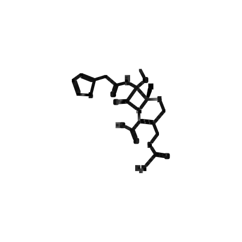 COC1(NC(=O)Cc2cccs2)C(=O)N2C(C(=O)O)=C(CSC(N)=O)CS[C@H]21